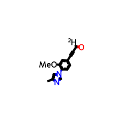 [2H]C(=O)C#Cc1ccc(-n2cnc(C)c2)c(OC)c1